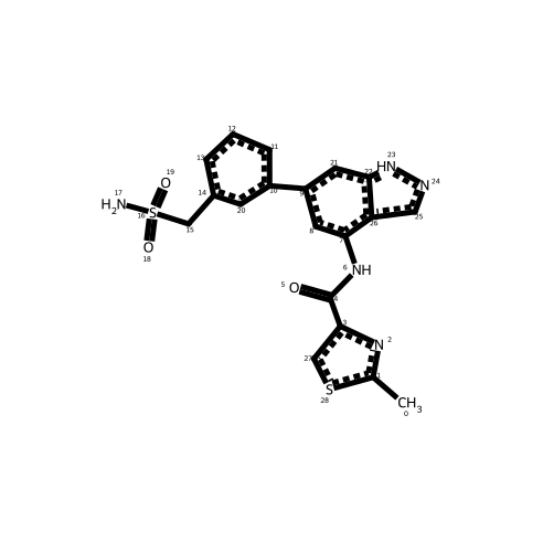 Cc1nc(C(=O)Nc2cc(-c3cccc(CS(N)(=O)=O)c3)cc3[nH]ncc23)cs1